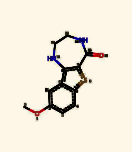 COc1ccc2sc3c(c2c1)NCCNC3=O